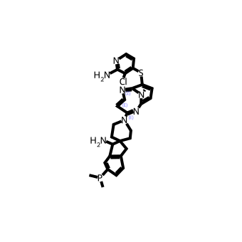 CN1C2=CC=C(Sc3ccnc(N)c3Cl)/C1=N/C=C/C(N1CCC3(CC1)Cc1ccc(P(C)C)cc1C3N)=N\2